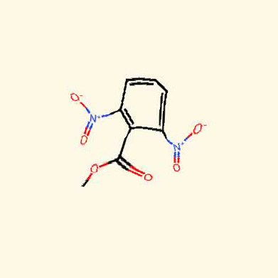 COC(=O)c1c([N+](=O)[O-])cccc1[N+](=O)[O-]